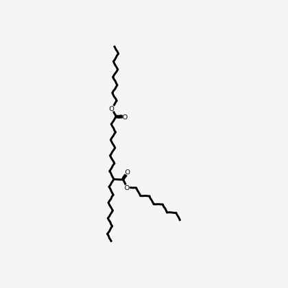 CCCCCCCCOC(=O)CCCCCCCC(CCCCCCCC)C(=O)OCCCCCCCC